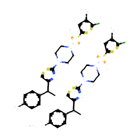 CC(c1ccc([N+](=O)[O-])cc1)c1csc(N2CCN(S(=O)(=O)c3cc([N+](=O)[O-])c(Cl)s3)CC2)n1.COc1ccc(C(C)c2csc(N3CCN(S(=O)(=O)c4cc([N+](=O)[O-])c(Cl)s4)CC3)n2)cc1